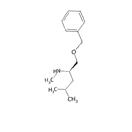 CN[C@@H](COCc1ccccc1)CC(C)C